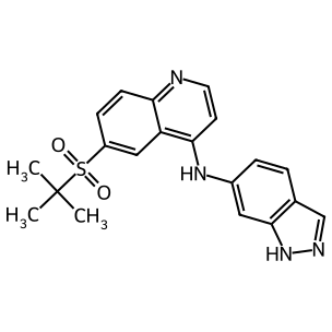 CC(C)(C)S(=O)(=O)c1ccc2nccc(Nc3ccc4cn[nH]c4c3)c2c1